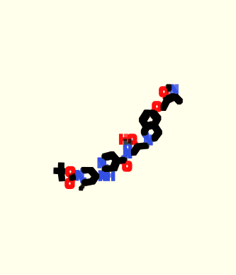 Cc1ncoc1COc1ccc2c(c1)CCN(C[C@@H](O)CNC(=O)c1ccnc(N[C@H]3CCN(C(=O)OC(C)(C)C)[C@@H](C)C3)c1)C2